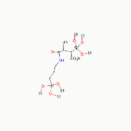 CCCC(C(=O)NCCC[Si](OCC)(OCC)OCC)C(C(=O)O)[Si](OCC)(OCC)OCC